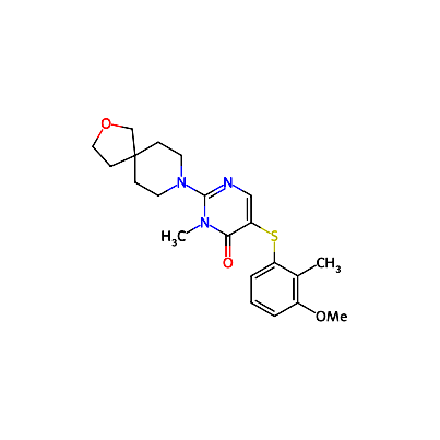 COc1cccc(Sc2cnc(N3CCC4(CCOC4)CC3)n(C)c2=O)c1C